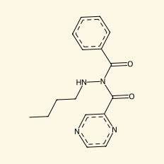 CCCCNN(C(=O)c1ccccc1)C(=O)c1cnccn1